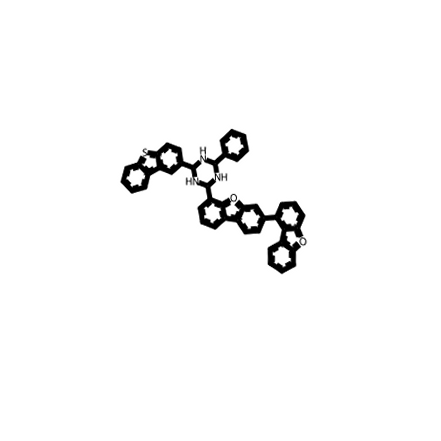 c1ccc(C2NC(c3ccc4sc5ccccc5c4c3)NC(c3cccc4c3oc3cc(-c5cccc6oc7ccccc7c56)ccc34)N2)cc1